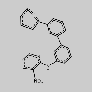 O=[N+]([O-])c1cccnc1Nc1cccc(-c2cccc(-c3ccccc3)c2)c1